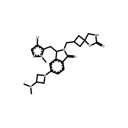 CN(C)C1CN(c2ccc3c(c2)C(Cc2c(Cl)cnn2C)N(CC2CC4(CNC(=O)O4)C2)C3=O)C1